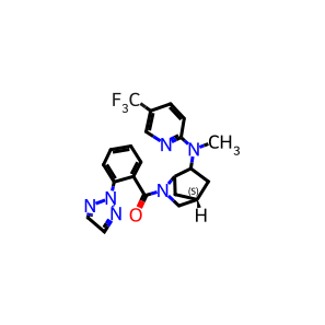 CN(c1ccc(C(F)(F)F)cn1)C1C[C@H]2CC1N(C(=O)c1ccccc1-n1nccn1)C2